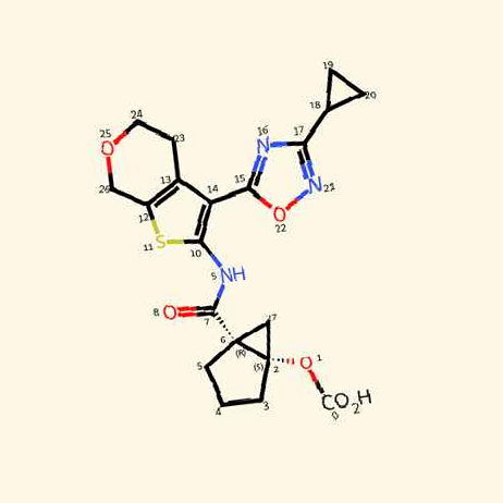 O=C(O)O[C@]12CCC[C@@]1(C(=O)Nc1sc3c(c1-c1nc(C4CC4)no1)CCOC3)C2